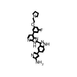 Nc1cncc(-c2ccc3[nH]nc(-c4nc5c(-c6cc(F)cc(OCCN7CCCC7)c6)ccnc5[nH]4)c3c2)c1